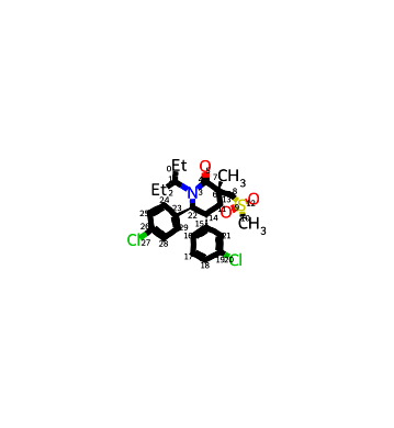 CCC(CC)N1C(=O)[C@](C)(CS(C)(=O)=O)C[C@H](c2cccc(Cl)c2)[C@H]1c1ccc(Cl)cc1